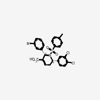 Cc1ccc(S(=O)(=O)N2[C@@H](c3cccc(Br)c3)C(C(=O)O)=CC[C@H]2c2ccc(Cl)c(Cl)c2)cc1